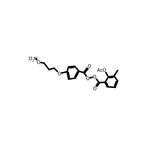 CC(=O)Oc1c(C)cccc1C(=O)OOC(=O)c1ccc(OCCCO[N+](=O)[O-])cc1